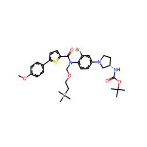 COc1ccc(-c2ccc(C(=O)N(COCC[Si](C)(C)C)c3ccc(N4CC[C@H](NC(=O)OC(C)(C)C)C4)cc3Br)s2)cc1